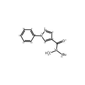 CN(C(=O)c1cnn(-c2ccccc2)c1)C(C)(C)C